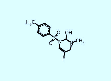 Cc1ccc(S(=O)(=O)N2C=C(F)CN(C)C2O)cc1